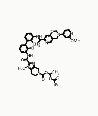 COc1cc(N2COc3cc(C(=O)Nc4cccc(-c5cccc(NC(=O)c6nc7c(n6C)CCN(C(=O)OC(C)OC(=O)C(C)C)C7)c5Cl)c4C)ncc3C2)ccn1